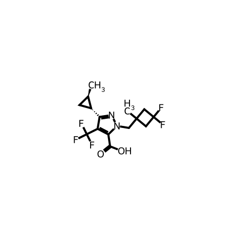 C[C@@H]1C[C@H]1c1nn(CC2(C)CC(F)(F)C2)c(C(=O)O)c1C(F)(F)F